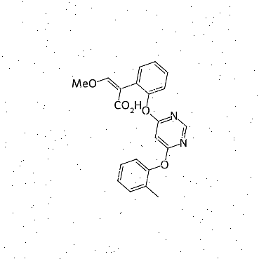 CO/C=C(\C(=O)O)c1ccccc1Oc1cc(Oc2ccccc2C)ncn1